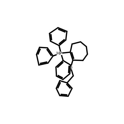 c1ccc(COC2=C([PH](c3ccccc3)(c3ccccc3)c3ccccc3)CCCCC2)cc1